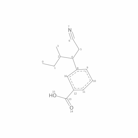 CCC(C)C(CC#N)c1cccc(C(=O)O)c1